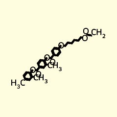 C=CC(=O)OCCCCCCOc1ccc(C(=O)Oc2ccc(C(=O)Oc3ccc(C)cc3C)cc2C)cc1